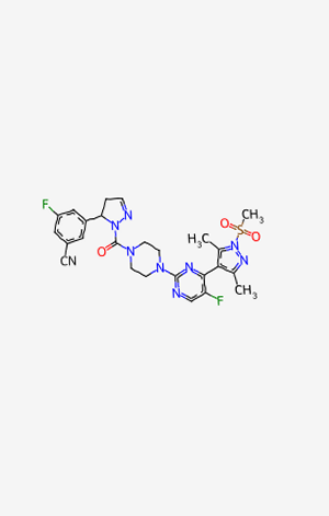 Cc1nn(S(C)(=O)=O)c(C)c1-c1nc(N2CCN(C(=O)N3N=CCC3c3cc(F)cc(C#N)c3)CC2)ncc1F